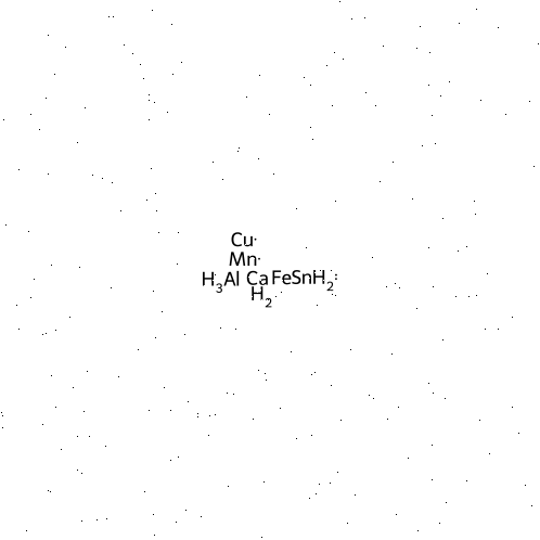 [AlH3].[CaH2].[Cu].[Fe].[Mn].[SnH2]